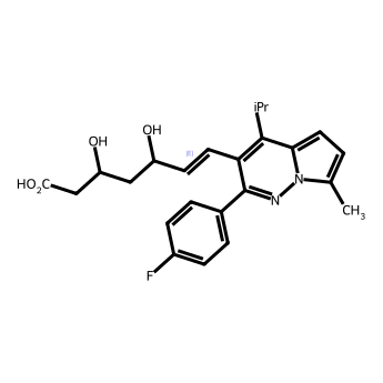 Cc1ccc2c(C(C)C)c(/C=C/C(O)CC(O)CC(=O)O)c(-c3ccc(F)cc3)nn12